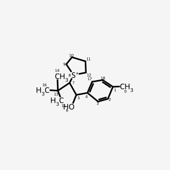 Cc1ccc(C(O)C([S+]2CCCC2)C(C)(C)C)cc1